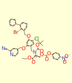 CCOC(=O)[C@H](COC(=O)Oc1ccc([N+](=O)[O-])cc1)N(Cc1cc(Cl)c(OCc2cccc(-c3ccccc3)c2Br)cc1OCc1ccnc(C#N)c1)C(=O)OC(C)(C)C